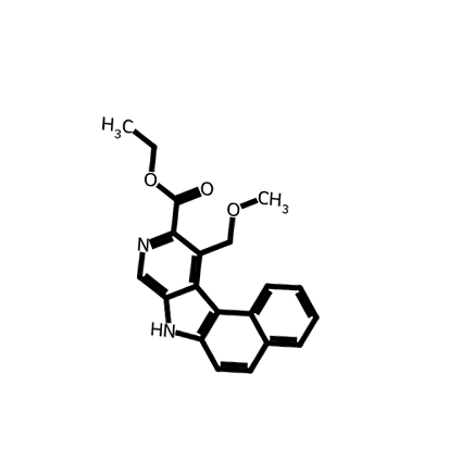 CCOC(=O)c1ncc2[nH]c3ccc4ccccc4c3c2c1COC